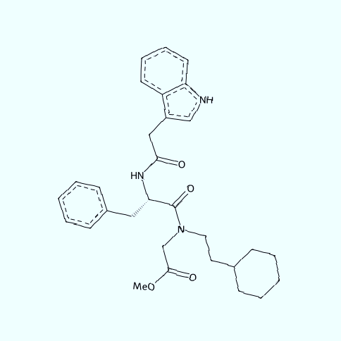 COC(=O)CN(CCC1CCCCC1)C(=O)[C@H](Cc1ccccc1)NC(=O)Cc1c[nH]c2ccccc12